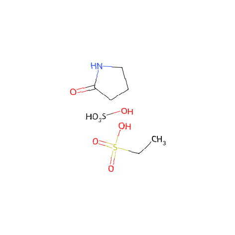 CCS(=O)(=O)O.O=C1CCCN1.O=S(=O)(O)O